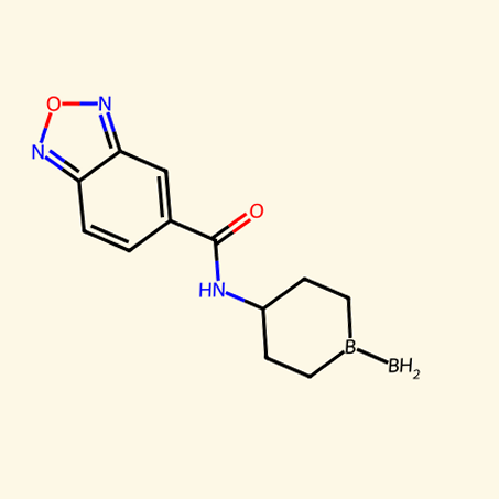 BB1CCC(NC(=O)c2ccc3nonc3c2)CC1